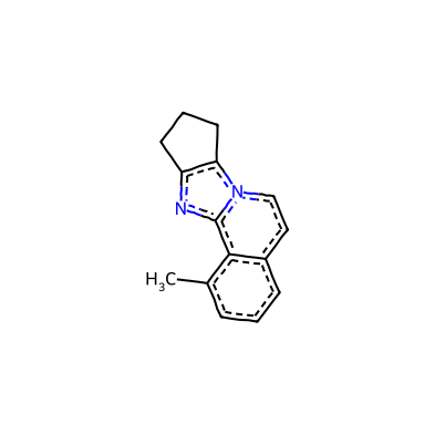 Cc1cccc2ccn3c4c(nc3c12)CCC4